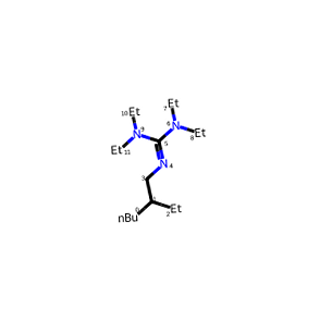 CCCCC(CC)CN=C(N(CC)CC)N(CC)CC